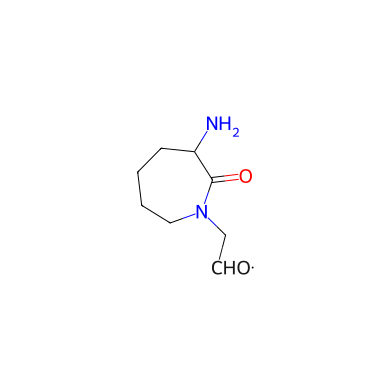 NC1CCCCN(C[C]=O)C1=O